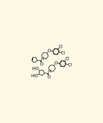 O=C(C1CC(O)C(O)C1)N1CCC(Oc2ccc(Cl)c(Cl)c2)CC1.O=C(C1CC=CC1)N1CCC(Oc2ccc(Cl)c(Cl)c2)CC1